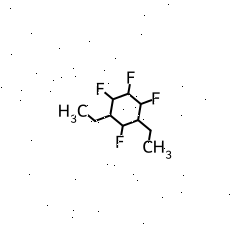 CCC1C(F)C(F)C(F)C(CC)C1F